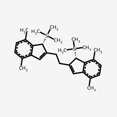 Cc1ccc(C)c2c1C=C(CCC1=Cc3c(C)ccc(C)c3[C@H]1[Si](C)(C)C)[C@H]2[Si](C)(C)C